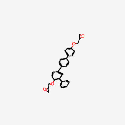 c1ccc(-c2cc(-c3ccc(-c4ccc(OCC5CO5)cc4)cc3)ccc2OCC2CO2)cc1